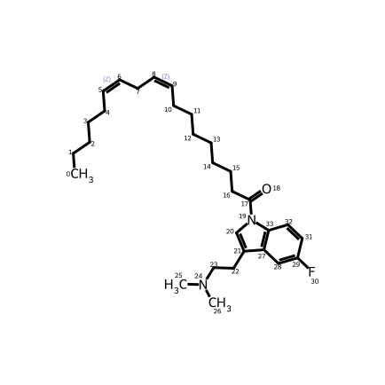 CCCCC/C=C\C/C=C\CCCCCCCC(=O)n1cc(CCN(C)C)c2cc(F)ccc21